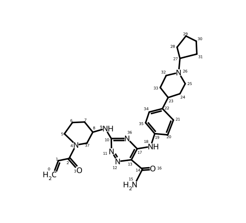 C=CC(=O)N1CCCC(Nc2nnc(C(N)=O)c(Nc3ccc(C4CCN(C5CCCC5)CC4)cc3)n2)C1